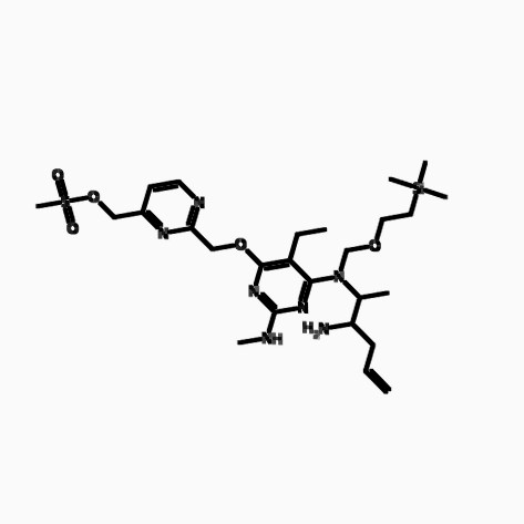 C=CCC(N)C(C)N(COCC[Si](C)(C)C)c1nc(NC)nc(OCc2nccc(COS(C)(=O)=O)n2)c1CC